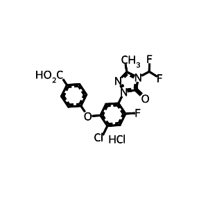 Cc1nn(-c2cc(Oc3ccc(C(=O)O)cc3)c(Cl)cc2F)c(=O)n1C(F)F.Cl